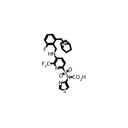 O=C(O)N(c1cscn1)S(=O)(=O)c1ccc(NCc2c(F)cccc2CN2C3CCC2CC3)c(C(F)(F)F)n1